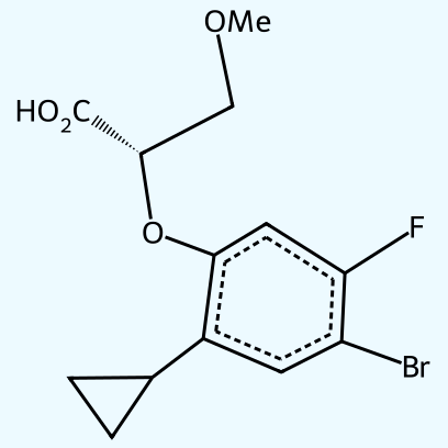 COC[C@H](Oc1cc(F)c(Br)cc1C1CC1)C(=O)O